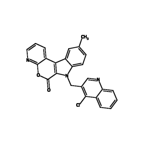 Cc1ccc2c(c1)c1c3cccnc3oc(=O)c1n2Cc1cnc2ccccc2c1Cl